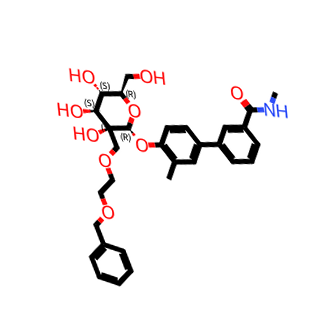 CNC(=O)c1cccc(-c2ccc(O[C@H]3O[C@H](CO)[C@@H](O)[C@H](O)[C@@]3(O)COCCOCc3ccccc3)c(C)c2)c1